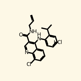 C=CCNC(=O)c1cnc2c(Cl)cccc2c1Nc1ccccc1C(C)C.Cl